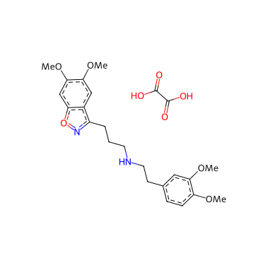 COc1ccc(CCNCCCc2noc3cc(OC)c(OC)cc23)cc1OC.O=C(O)C(=O)O